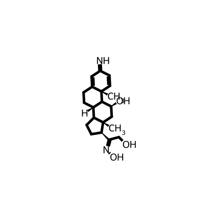 C[C@]12C=CC(=N)C=C1CC[C@@H]1C2[C@@H](O)C[C@@]2(C)C1CC[C@@H]2/C(CO)=N/O